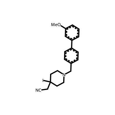 COc1cccc(-c2ccc(CN3CCC(I)(CC#N)CC3)cc2)c1